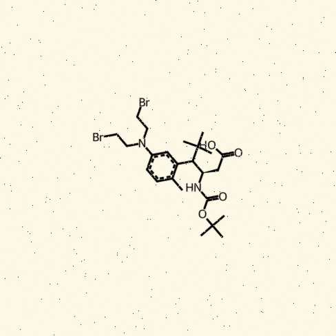 Cc1ccc(N(CCBr)CCBr)cc1C([C@@H](CC(=O)O)NC(=O)OC(C)(C)C)C(C)(C)C